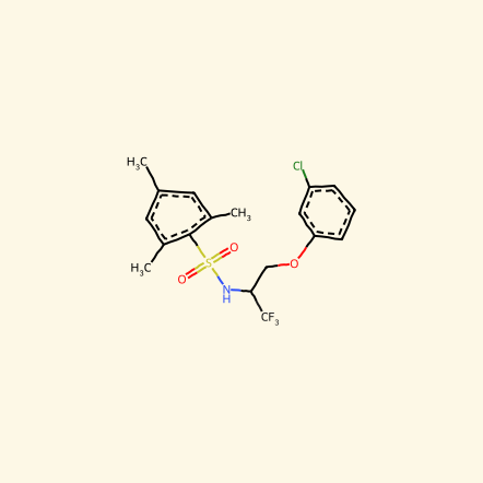 Cc1cc(C)c(S(=O)(=O)NC(COc2cccc(Cl)c2)C(F)(F)F)c(C)c1